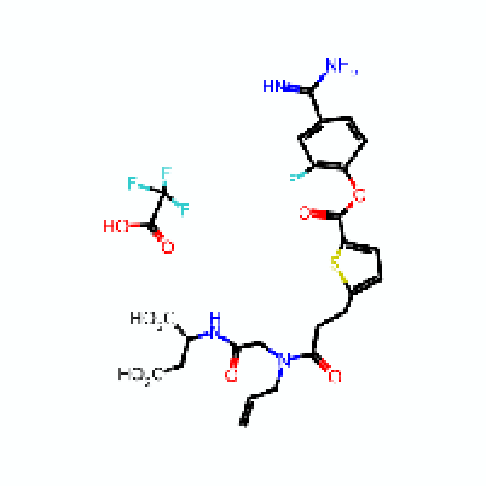 C=CCN(CC(=O)N[C@@H](CC(=O)O)C(=O)O)C(=O)CCc1ccc(C(=O)Oc2ccc(C(=N)N)cc2F)s1.O=C(O)C(F)(F)F